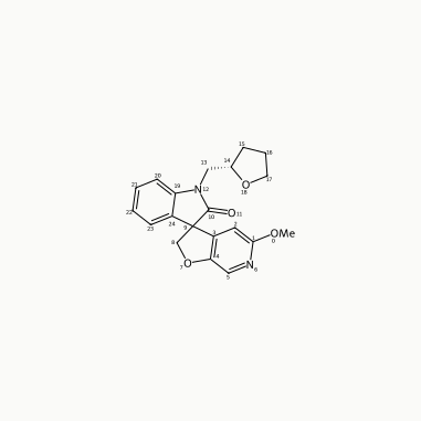 COc1cc2c(cn1)OCC21C(=O)N(C[C@@H]2CCCO2)c2ccccc21